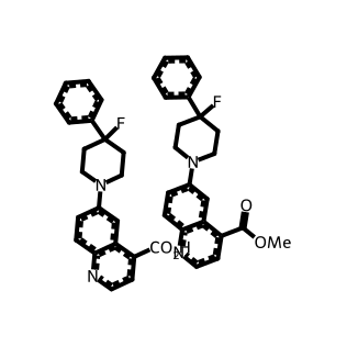 COC(=O)c1ccnc2ccc(N3CCC(F)(c4ccccc4)CC3)cc12.O=C(O)c1ccnc2ccc(N3CCC(F)(c4ccccc4)CC3)cc12